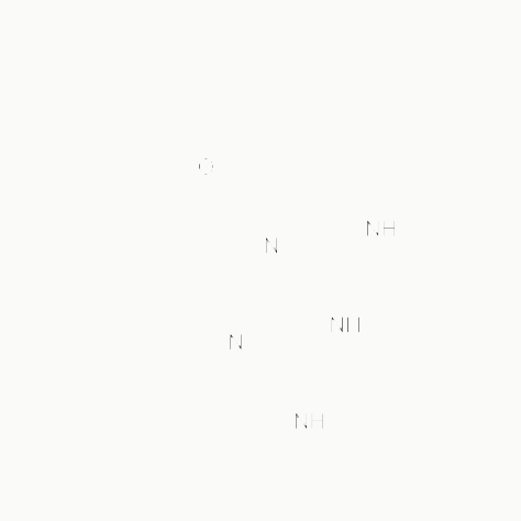 CC1CNC(NC(=N)N2CCCCC2)=NC1=O